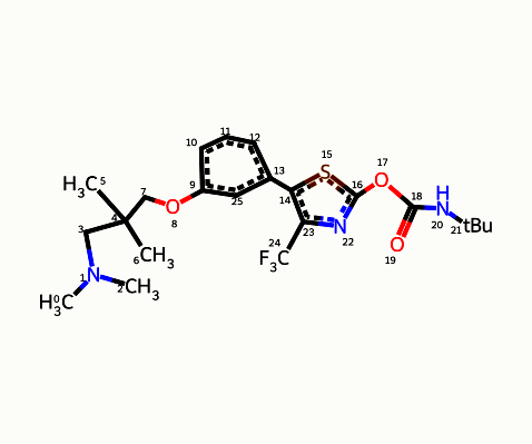 CN(C)CC(C)(C)COc1cccc(-c2sc(OC(=O)NC(C)(C)C)nc2C(F)(F)F)c1